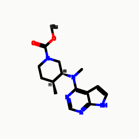 C[C@H]1CCN(C(=O)OC(C)(C)C)C[C@@H]1N(C)c1ncnc2[nH]ccc12